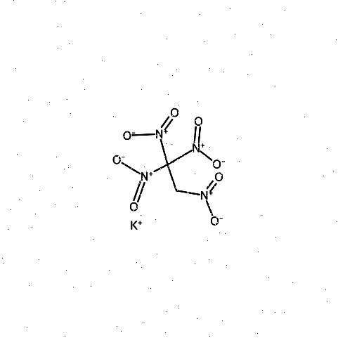 O=[N+]([O-])CC([N+](=O)[O-])([N+](=O)[O-])[N+](=O)[O-].[K+]